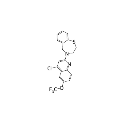 FC(F)(F)Oc1ccc2nc(N3CCSc4ccccc4C3)cc(Cl)c2c1